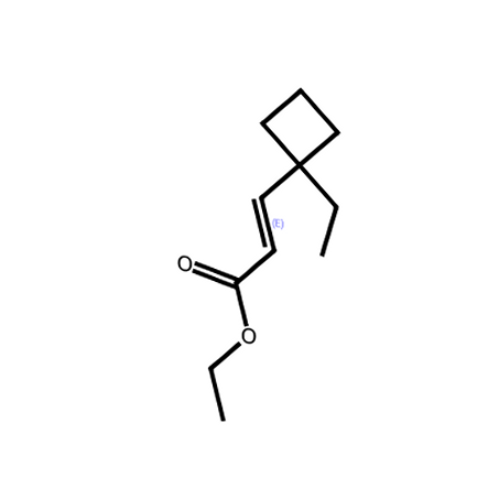 CCOC(=O)/C=C/C1(CC)CCC1